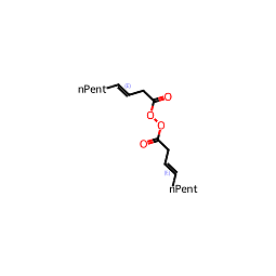 CCCCC/C=C/CC(=O)OOC(=O)C/C=C/CCCCC